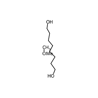 COC.OCCCCCCCCO